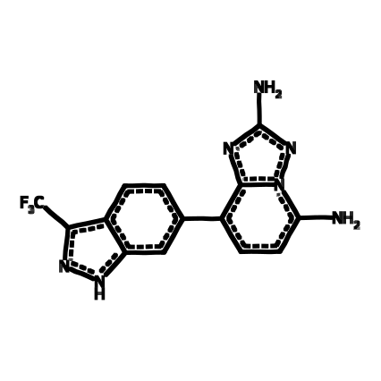 Nc1nc2c(-c3ccc4c(C(F)(F)F)n[nH]c4c3)ccc(N)n2n1